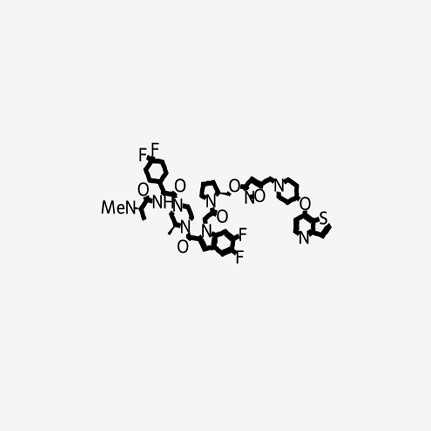 CN[C@@H](C)C(=O)NC(C(=O)N1CCN(C(=O)c2cc3cc(F)c(F)cc3n2CC(=O)N2CCC[C@H]2COc2cc(CN3CCC(Oc4ccnc5ccsc45)CC3)on2)[C@@H](C)C1)C1CCC(F)(F)CC1